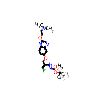 CN(C)CCOc1cnc2cc(OC/C(=C/F)CNC(=O)OC(C)(C)C)ccc2n1